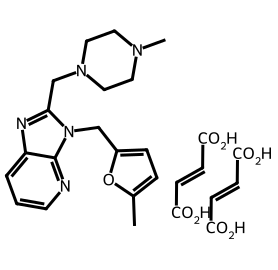 Cc1ccc(Cn2c(CN3CCN(C)CC3)nc3cccnc32)o1.O=C(O)C=CC(=O)O.O=C(O)C=CC(=O)O